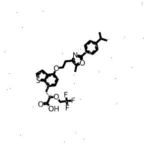 Cc1oc(-c2ccc(C(C)C)cc2)nc1CCOc1ccc(C[C@H](OCC(F)(F)F)C(=O)O)c2sccc12